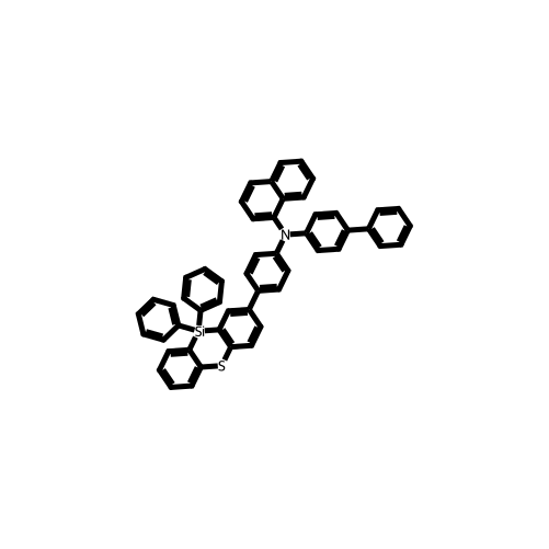 c1ccc(-c2ccc(N(c3ccc(-c4ccc5c(c4)[Si](c4ccccc4)(c4ccccc4)c4ccccc4S5)cc3)c3cccc4ccccc34)cc2)cc1